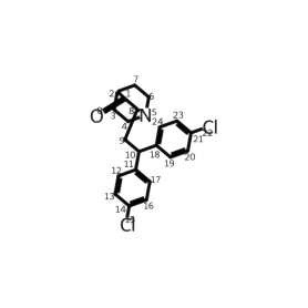 O=C1C2CCN(CC2)C1CC(c1ccc(Cl)cc1)c1ccc(Cl)cc1